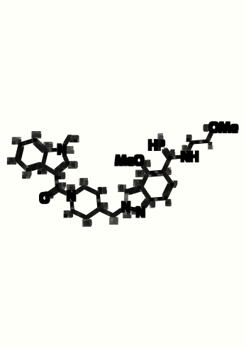 COCCNC(=P)c1ccc2nn(CC3CCN(C(=O)c4cn(C)c5ccccc45)CC3)cc2c1OC